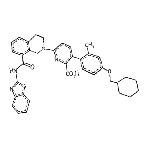 Cc1cc(OCC2CCCCC2)ccc1-c1ccc(N2CCc3cccc(C(=O)Nc4nc5ccccc5s4)c3C2)nc1C(=O)O